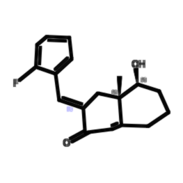 C[C@]12C/C(=C\c3ccccc3F)C(=O)C=C1CCC[C@@H]2O